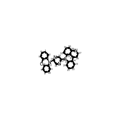 c1ccc2c(c1)Oc1ccccc1N2c1cnc(B2c3ccccc3-c3ccnc4cccc2c34)cn1